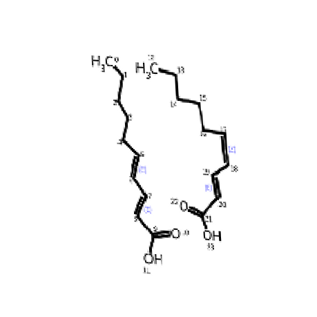 CCCCC/C=C/C=C/C(=O)O.CCCCC/C=C\C=C\C(=O)O